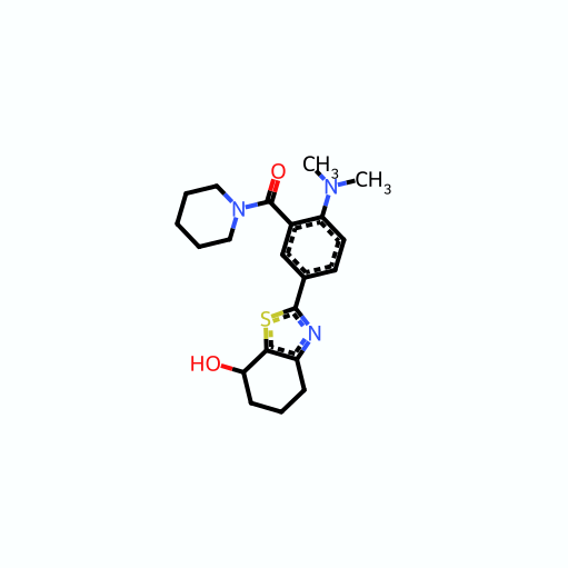 CN(C)c1ccc(-c2nc3c(s2)C(O)CCC3)cc1C(=O)N1CCCCC1